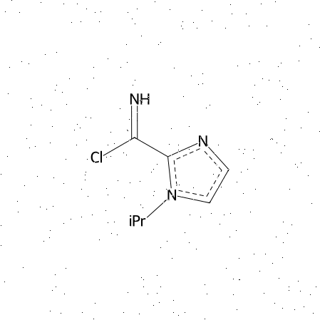 CC(C)n1ccnc1C(=N)Cl